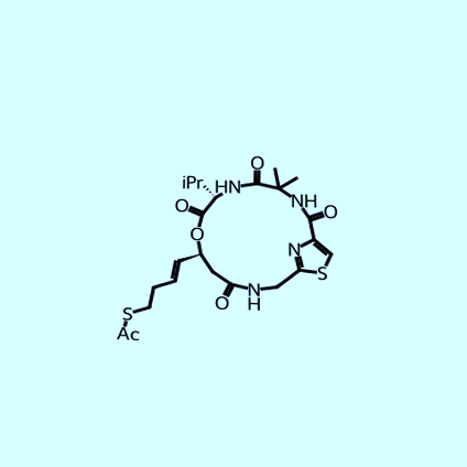 CC(=O)SCC/C=C/[C@@H]1CC(=O)NCc2nc(cs2)C(=O)NC(C)(C)C(=O)N[C@@H](C(C)C)C(=O)O1